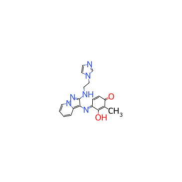 CC1=C(O)/C(=N/c2c(NCCn3ccnc3)nn3ccccc23)C=CC1=O